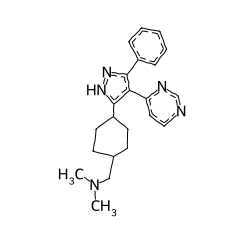 CN(C)CC1CCC(c2[nH]nc(-c3ccccc3)c2-c2ccncn2)CC1